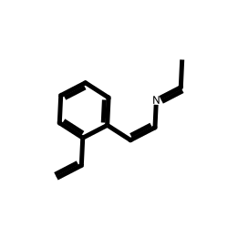 C=Cc1ccccc1/C=C\N=C\C